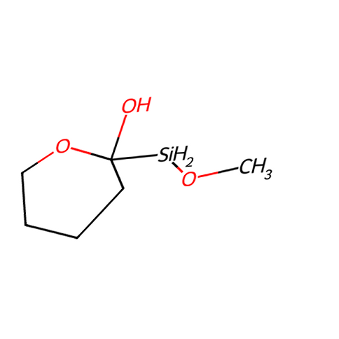 CO[SiH2]C1(O)CCCCO1